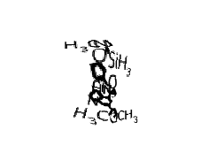 Cc1cc(-c2cc(C3(NC(=O)c4cc(O[C@@H]([SiH3])[C@@H]5CCN5C)ccc4C)CC3)c3cccnc3c2)c(C)o1